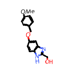 COc1ccc(COc2ccc3[nH]c(CO)nc3c2)cc1